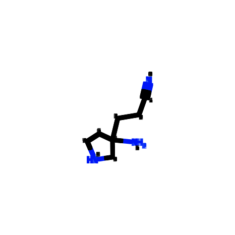 N#CCCC1(N)CCNC1